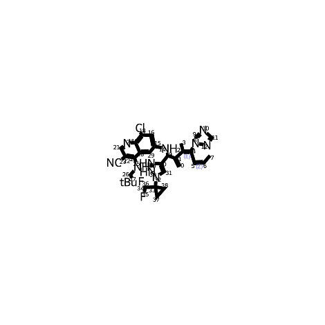 C=C(/C(C)=C(\C=C/C)n1cncn1)[C@H](Nc1cc(Cl)c2ncc(C#N)c(NCC(C)(C)C)c2c1)C1=CN(C2(C(F)F)CC2)NN1